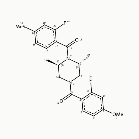 COc1ccc(C(=O)N2C[C@@H](C)N(C(=O)c3ccc(SC)cc3F)[C@H](C)C2)c(F)c1